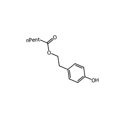 CCCCCC(=O)OCCc1ccc(O)cc1